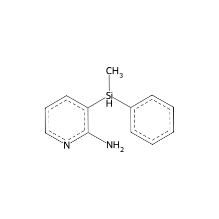 C[SiH](c1ccccc1)c1cccnc1N